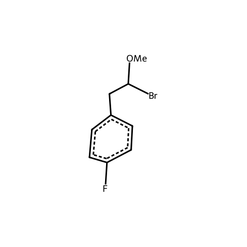 COC(Br)Cc1ccc(F)cc1